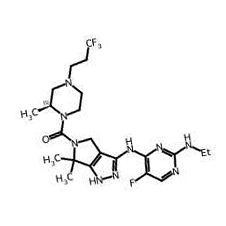 CCNc1ncc(F)c(Nc2n[nH]c3c2CN(C(=O)N2CCN(CCC(F)(F)F)C[C@@H]2C)C3(C)C)n1